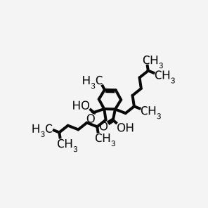 CC1=CCC(CC(C)CCCC(C)C)(C(=O)O)C(CC(C)CCCC(C)C)(C(=O)O)C1